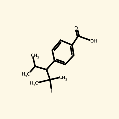 CC(C)C(c1ccc(C(=O)O)cc1)C(C)(C)I